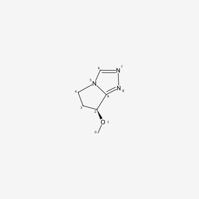 CO[C@H]1CCn2cnnc21